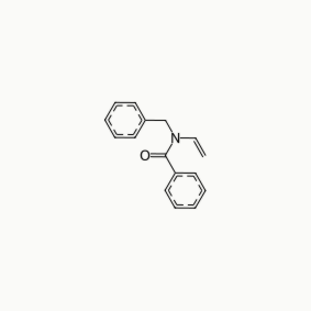 C=CN(Cc1ccccc1)C(=O)c1ccccc1